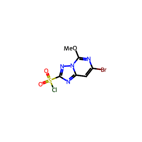 COc1nc(Br)cc2nc(S(=O)(=O)Cl)nn12